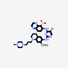 COc1cc2c(cc1Nc1ncc(Br)c(Nc3ccc4nccnc4c3P(C)C)n1)CCCN2CCCN1CCN(C)CC1